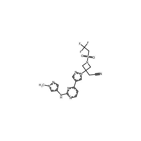 Cn1cc(Nc2nccc(-c3cnn(C4(CC#N)CN(S(=O)(=O)CC(F)(F)F)C4)c3)n2)cn1